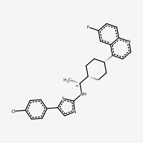 C[C@@H](Nc1ncc(-c2ccc(Cl)cc2)s1)[C@H]1CC[C@@H](c2ccnc3ccc(F)cc32)CC1